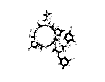 CC1C[C@H]2C(=O)N(C)[C@@H](CNS(C)(=O)=O)C(=O)N[C@@H](C)C(=O)N3C[C@H](C)C[C@H]3C(=O)OC[C@H](NC(=O)[C@H](Cc3cc(F)cc(F)c3)NC(=O)Nc3ccc(Cl)cc3F)C(=O)N2C1